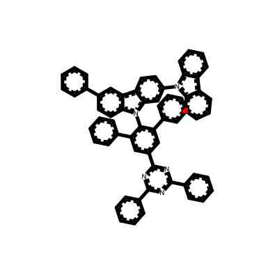 c1ccc(-c2ccc3c(c2)c2ccc(-n4c5ccccc5c5ccccc54)cc2n3-c2c(-c3ccccc3)cc(-c3nc(-c4ccccc4)nc(-c4ccccc4)n3)cc2-c2ccccc2)cc1